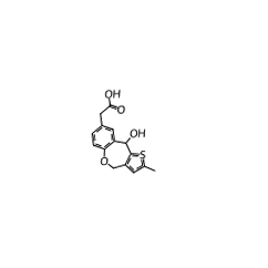 Cc1cc2c(s1)C(O)c1cc(CC(=O)O)ccc1OC2